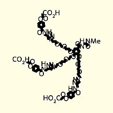 CNC(=O)CNC(=O)c1cc(OCCOCCOCCn2cc(CNC(=O)c3ccc(OC(=O)CC(=O)O)cc3)nn2)c(OCCOCCOCCn2cc(CNC(=O)c3ccc(OC(=O)CC(=O)O)cc3)nn2)c(OCCOCCOCCn2cc(CNC(=O)c3ccc(OC(=O)CC(=O)O)cc3)nn2)c1